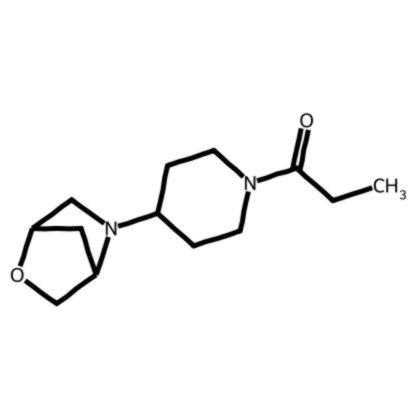 CCC(=O)N1CCC(N2CC3CC2CO3)CC1